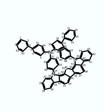 c1ccc(-c2ccc(N(c3ccc(-c4ccccc4)cc3)c3ccc(-n4c5ccccc5c5ccc6c7ccc8c9ccccc9n(-c9ccccc9)c8c7sc6c54)cc3)cc2)cc1